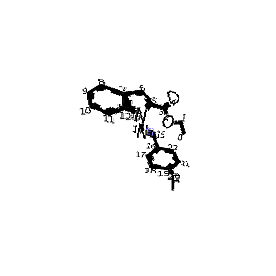 CCOC(=O)c1cc2ccccc2n1/N=C/c1ccc(F)cc1